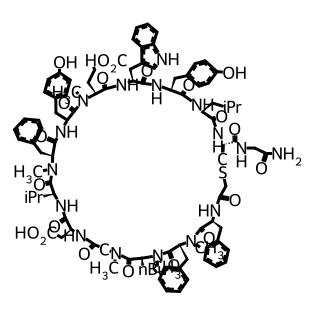 CCCC[C@H]1C(=O)N(C)CC(=O)N[C@@H](CC(=O)O)C(=O)N[C@@H](C(C)C)C(=O)N(C)[C@@H](Cc2ccccc2)C(=O)NC(Cc2ccc(O)cc2)C(=O)N(C)[C@@H](CCC(=O)O)C(=O)N[C@@H](Cc2c[nH]c3ccccc23)C(=O)N[C@@H](Cc2ccc(O)cc2)C(=O)N[C@@H](CC(C)C)C(=O)N[C@H](C(=O)NCC(N)=O)CSCC(=O)N[C@@H](Cc2ccccc2)C(=O)N(C)[C@@H](Cc2ccccc2)C(=O)N1C